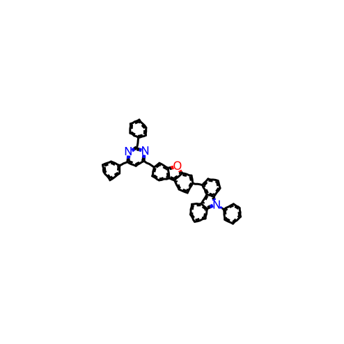 c1ccc(-c2cc(-c3ccc4c(c3)oc3cc(-c5cccc6c5c5ccccc5n6-c5ccccc5)ccc34)nc(-c3ccccc3)n2)cc1